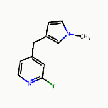 Cn1ccc(Cc2ccnc(F)c2)c1